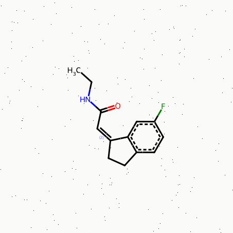 CCNC(=O)/C=C1/CCc2ccc(F)cc21